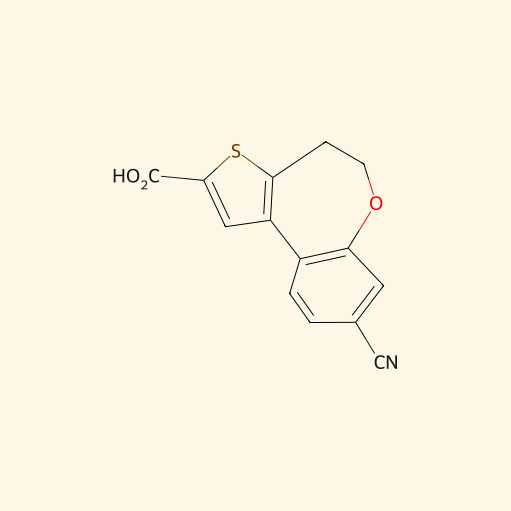 N#Cc1ccc2c(c1)OCCc1sc(C(=O)O)cc1-2